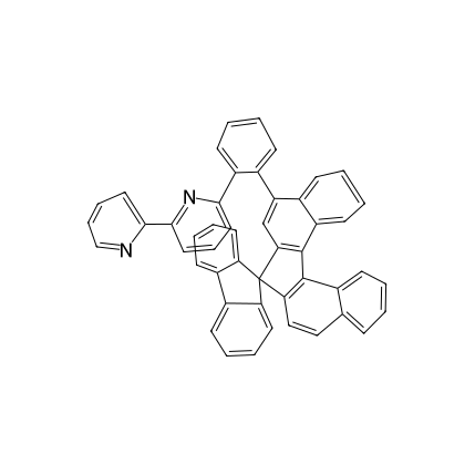 c1ccc(-c2cccc(-c3ccccc3-c3cc4c(c5ccccc35)-c3c(ccc5ccccc35)C43c4ccccc4-c4ccccc43)n2)nc1